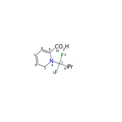 CC(C)C(F)(F)N1CC=CC=C1C(=O)O